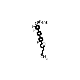 C/C=C/CCC1CCC(c2ccc(-c3ccc(-c4ccc(OCCCCC)c(F)c4F)cc3)cc2F)OC1